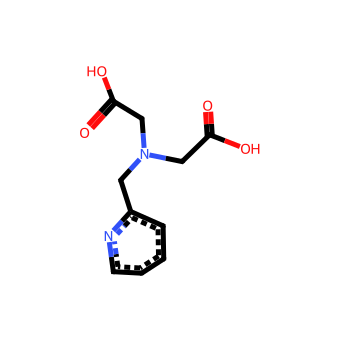 O=C(O)CN(CC(=O)O)Cc1ccccn1